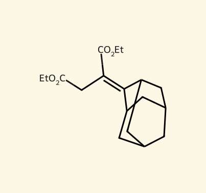 CCOC(=O)CC(C(=O)OCC)=C1C2CC3CC(C2)CC1C3